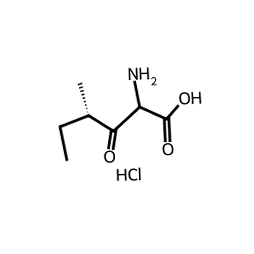 CC[C@H](C)C(=O)C(N)C(=O)O.Cl